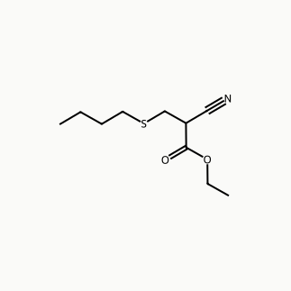 CCCCSCC(C#N)C(=O)OCC